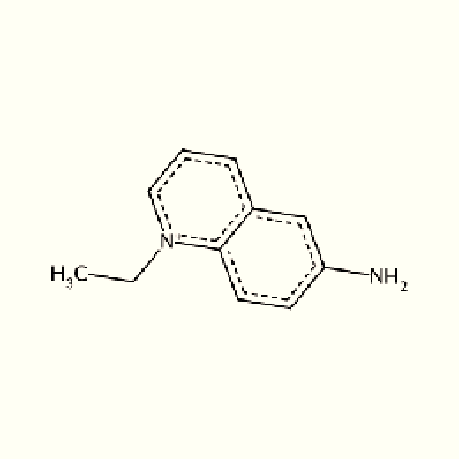 CC[n+]1cccc2cc(N)ccc21